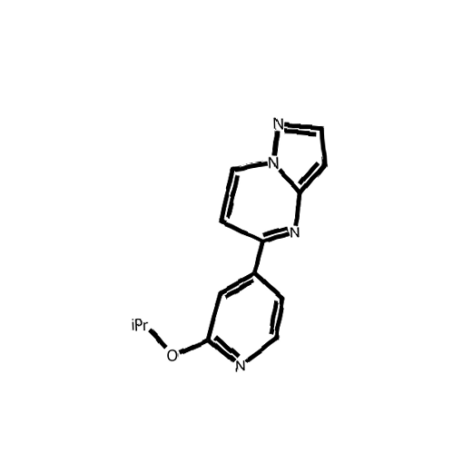 CC(C)Oc1cc(-c2ccn3nccc3n2)ccn1